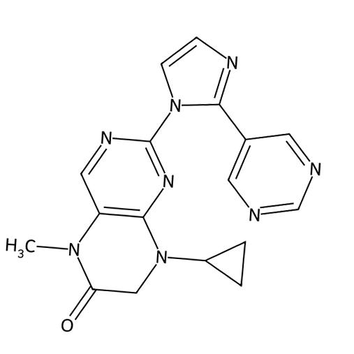 CN1C(=O)CN(C2CC2)c2nc(-n3ccnc3-c3cncnc3)ncc21